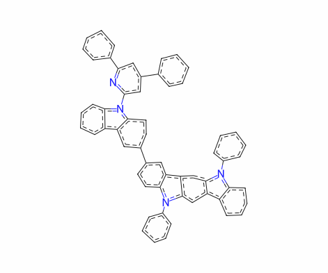 c1ccc(-c2cc(-c3ccccc3)nc(-n3c4ccccc4c4cc(-c5ccc6c(c5)c5cc7c(cc5n6-c5ccccc5)c5ccccc5n7-c5ccccc5)ccc43)c2)cc1